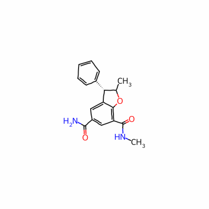 CNC(=O)c1cc(C(N)=O)cc2c1OC(C)[C@H]2c1ccccc1